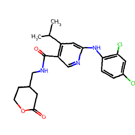 CC(C)c1cc(Nc2ccc(Cl)cc2Cl)ncc1C(=O)NCC1CCOC(=O)C1